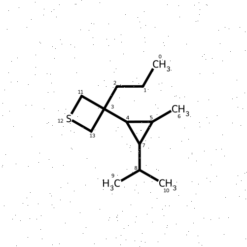 CCCC1(C2C(C)C2C(C)C)CSC1